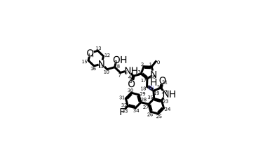 Cc1cc(C(=O)NCC(O)CN2CCOCC2)c(/C=C2\C(=O)Nc3cccc(-c4cccc(F)c4)c32)[nH]1